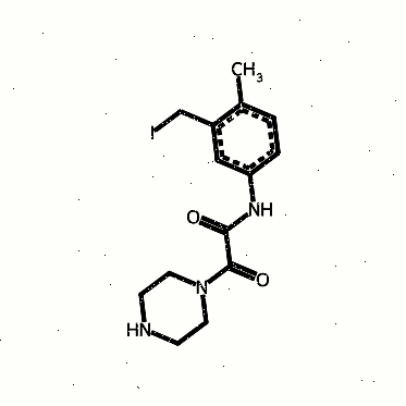 Cc1ccc(NC(=O)C(=O)N2CCNCC2)cc1CI